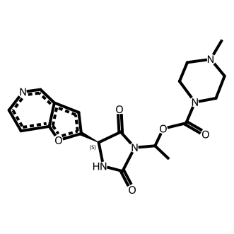 CC(OC(=O)N1CCN(C)CC1)N1C(=O)N[C@@H](c2cc3cnccc3o2)C1=O